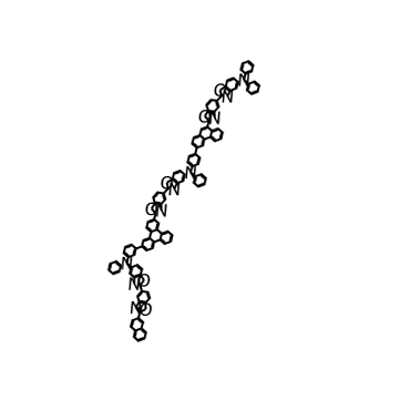 c1ccc(N(c2ccc(-c3ccc4cc(-c5nc6cc(-c7nc8cc(N(c9ccccc9)c9ccccc9)ccc8o7)ccc6o5)c5ccccc5c4c3)cc2)c2ccc3oc(-c4ccc5oc(-c6ccc7c8cc(-c9cccc(N(c%10ccccc%10)c%10ccc%11oc(-c%12ccc%13oc(-c%14ccc%15ccccc%15c%14)nc%13c%12)nc%11c%10)c9)ccc8c8ccccc8c7c6)nc5c4)nc3c2)cc1